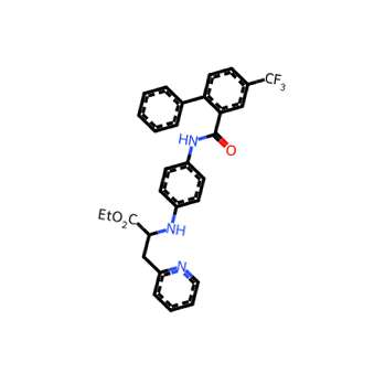 CCOC(=O)C(Cc1ccccn1)Nc1ccc(NC(=O)c2cc(C(F)(F)F)ccc2-c2ccccc2)cc1